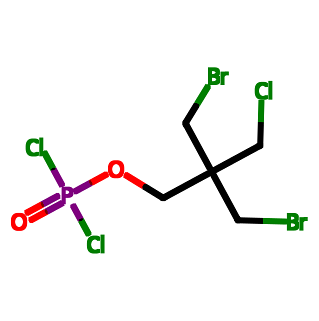 O=P(Cl)(Cl)OCC(CCl)(CBr)CBr